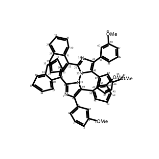 COc1cccc(-c2nc(-c3cccc4ccccc34)n(-n3c(-c4cccc5ccccc45)nc(-c4cccc(OC)c4)c3-c3cccc(OC)c3)c2-c2cccc(OC)c2)c1